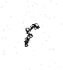 O=S(=O)(c1cccc(OCC(O)CN[C@H]2COC3(CCN(S(=O)(=O)c4cnc5ccccc5c4)CC3)C2)c1)C1CCC1